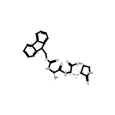 CCC[C@H](NC(=O)OCC1c2ccccc2-c2ccccc21)C(=O)N[C@@H](C[C@@H]1CCNC1=O)C(=O)OC